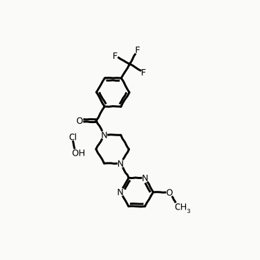 COc1ccnc(N2CCN(C(=O)c3ccc(C(F)(F)F)cc3)CC2)n1.OCl